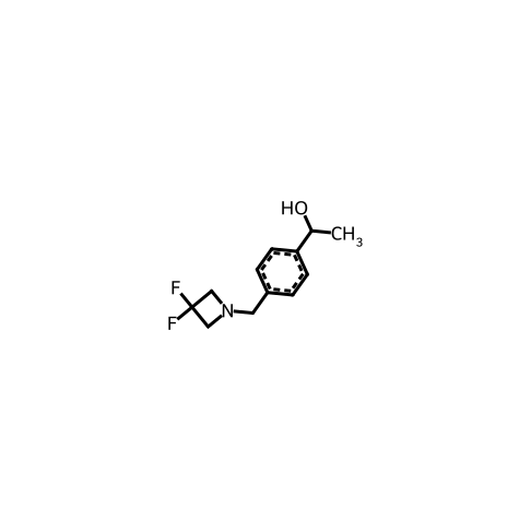 CC(O)c1ccc(CN2CC(F)(F)C2)cc1